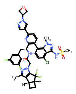 Cn1nc(NS(C)(=O)=O)c2c(Cl)ccc(-c3ccc(-c4cnn(C5COC5)c4)nc3[C@H](Cc3cc(F)cc(F)c3)NC(=O)Cn3nc(C(F)(F)F)c4c3C(F)(F)[C@@H]3CC[C@H]43)c21